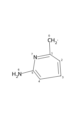 [CH2]c1cccc(N)n1